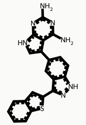 Nc1nc(N)c2c(-c3ccc4[nH]nc(-c5cc6ccccc6s5)c4c3)c[nH]c2n1